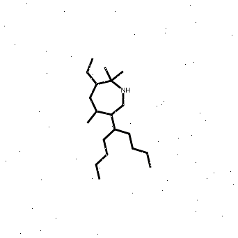 CCCCC(CCCC)C1CNC(C)(C)C(CC)CC1C